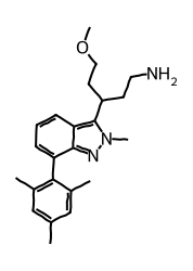 COCCC(CCN)c1c2cccc(-c3c(C)cc(C)cc3C)c2nn1C